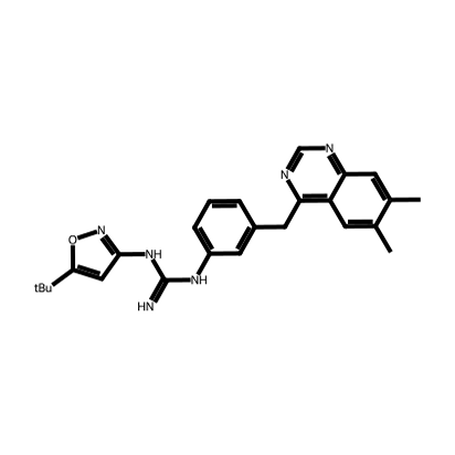 Cc1cc2ncnc(Cc3cccc(NC(=N)Nc4cc(C(C)(C)C)on4)c3)c2cc1C